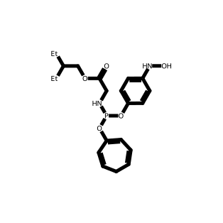 CCC(CC)COC(=O)CNP(OC1=CC=CCC=C1)Oc1ccc(NO)cc1